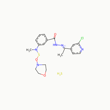 C/C(=N\NC(=O)c1cccc(N(C)SON2CCOCC2)c1)c1ccnc(Cl)c1.S